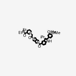 CCN(CC)C(=O)C1CCCN(CC(=O)N2CC3CN(C(=O)c4ccc5[nH]c(-c6ccc(OC)c(OC)c6)c(C(C)C)c5c4)CC3C2)C1